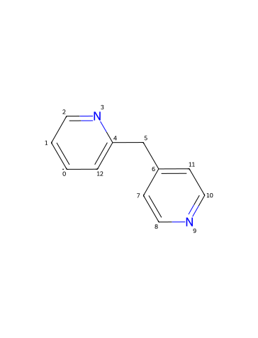 [c]1ccnc(Cc2ccncc2)c1